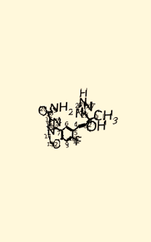 CC(O)(C#Cc1cc2c(cc1F)OCCn1cc(C(N)=O)nc1-2)c1nc[nH]n1